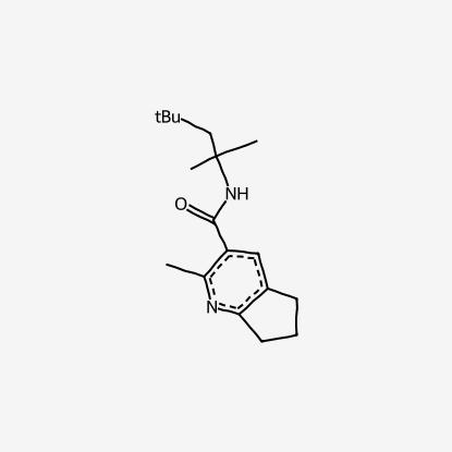 Cc1nc2c(cc1C(=O)NC(C)(C)CC(C)(C)C)CCC2